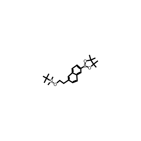 CC1(C)OB(c2ccc3cc(CCO[Si](C)(C)C(C)(C)C)ccc3c2)OC1(C)C